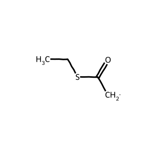 [CH2]C(=O)SCC